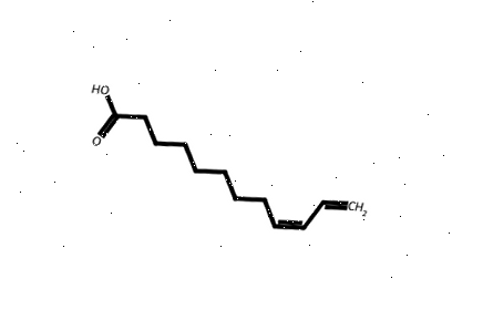 C=C/C=C\CCCCCCCC(=O)O